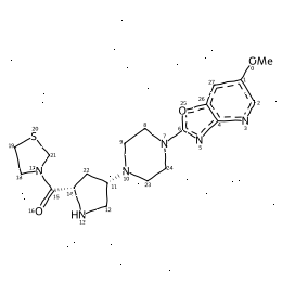 COc1cnc2nc(N3CCN([C@@H]4CN[C@H](C(=O)N5CCSC5)C4)CC3)oc2c1